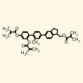 C=C(C)C(=O)OCC1CCc2cc(-c3ccc(-c4ccc(OC(=O)C(=C)C)cc4OC(=O)C(=C)C)c(C)c3)ccc21